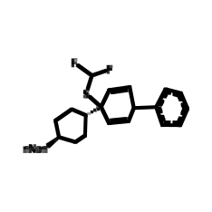 CCCCCCCCC[C@H]1CC[C@H](C2(SC(F)F)C=CC(c3ccccc3)C=C2)CC1